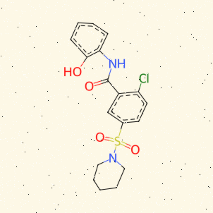 O=C(Nc1ccccc1O)c1cc(S(=O)(=O)N2CCCCC2)ccc1Cl